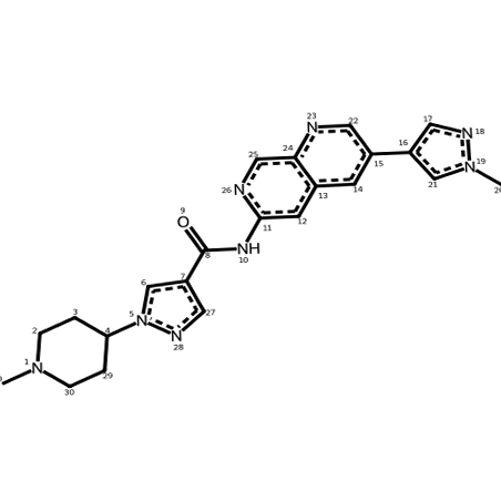 CN1CCC(n2cc(C(=O)Nc3cc4cc(-c5cnn(C)c5)cnc4cn3)cn2)CC1